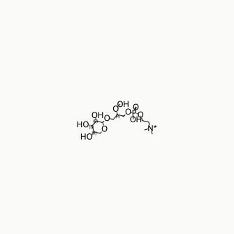 C[N+](C)(C)CCOP(=O)(O)OC[C@@H](COC1OC[C@@H](O)[C@H](O)[C@H]1O)OO